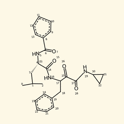 CC(C)C[C@H](NC(=O)c1ccccc1)C(=O)NC(Cc1ccccc1)C(=O)C(=O)NC1CC1